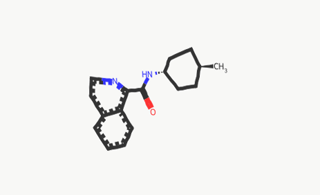 C[C@H]1CC[C@H](NC(=O)c2nccc3ccccc23)CC1